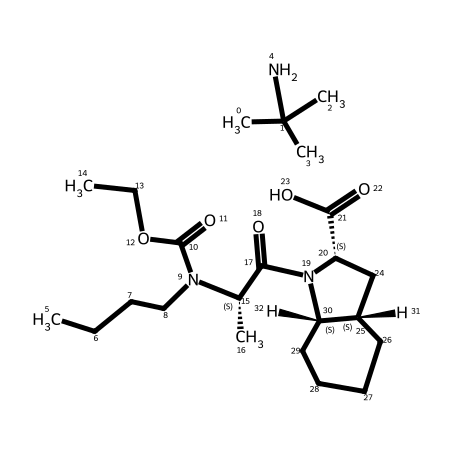 CC(C)(C)N.CCCCN(C(=O)OCC)[C@@H](C)C(=O)N1[C@H](C(=O)O)C[C@@H]2CCCC[C@@H]21